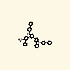 Nc1ccc(-c2cc(-c3ccc4c(c3)c3ccccc3n4-c3ccc(-c4ccccc4)cc3)ccc2Nc2ccc(-c3ccccc3)cc2)cc1-c1ccccc1